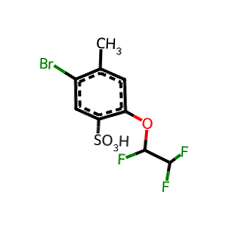 Cc1cc(OC(F)C(F)F)c(S(=O)(=O)O)cc1Br